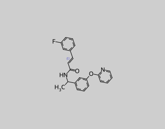 CC(NC(=O)/C=C/c1cccc(F)c1)c1cccc(Oc2ccccn2)c1